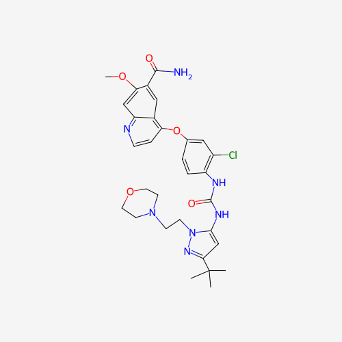 COc1cc2nccc(Oc3ccc(NC(=O)Nc4cc(C(C)(C)C)nn4CCN4CCOCC4)c(Cl)c3)c2cc1C(N)=O